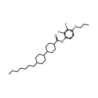 CCCCCCCC1CCC(C2CCC(C(=O)Oc3ccc(OCCC)c(F)c3F)CC2)CC1